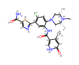 C[C@@H]1CN(c2cc(F)c(-c3ncc(C(N)=O)s3)cc2NC(=O)c2c[nH]c(=O)cc2C(F)(F)F)C[C@H](C)N1C